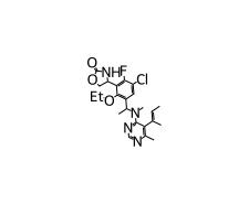 CC=C(C)c1c(C)ncnc1N(C)C(C)c1cc(Cl)c(F)c(C2COC(=O)N2)c1OCC